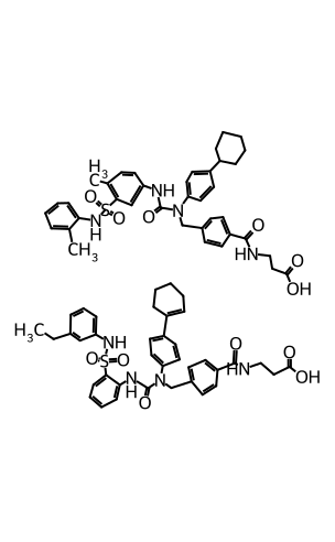 CCc1cccc(NS(=O)(=O)c2ccccc2NC(=O)N(Cc2ccc(C(=O)NCCC(=O)O)cc2)c2ccc(C3=CCCCC3)cc2)c1.Cc1ccccc1NS(=O)(=O)c1cc(NC(=O)N(Cc2ccc(C(=O)NCCC(=O)O)cc2)c2ccc(C3CCCCC3)cc2)ccc1C